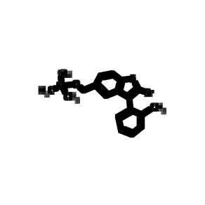 Cc1ccccc1-c1c(Br)sc2ccc(CO[Si](C)(C)C(C)(C)C)cc12